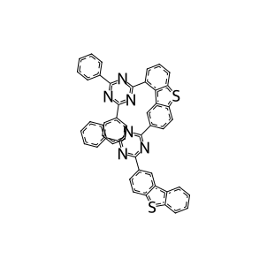 c1ccc(-c2nc(-c3ccc4sc5ccccc5c4c3)nc(-c3ccc4sc5cccc(-c6nc(-c7ccccc7)nc(-c7ccccc7)n6)c5c4c3)n2)cc1